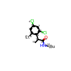 CCc1cc(Cl)cc(Cl)c1C(C)C(=O)NC(C)(C)C